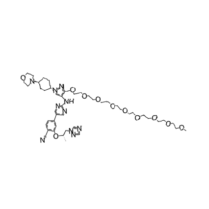 COCCOCCOCCOCCOCCOCCOCCOCCOc1nn([C@H]2CC[C@H](N3CCOCC3)CC2)cc1Nc1ncc(-c2ccc(C#N)c(O[C@@H](C)Cn3cncn3)c2)cn1